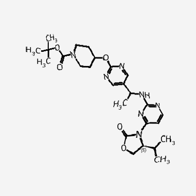 CC(Nc1nccc(N2C(=O)OC[C@@H]2C(C)C)n1)c1cnc(OC2CCN(C(=O)OC(C)(C)C)CC2)nc1